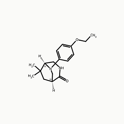 CCOc1ccc(N2C[C@@H]3CC(C)(C)[C@H]2CNC3=O)cc1